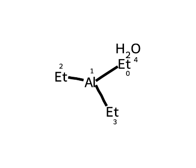 C[CH2][Al]([CH2]C)[CH2]C.O